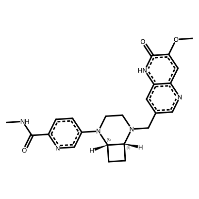 CNC(=O)c1ccc(N2CCN(Cc3cnc4cc(OC)c(=O)[nH]c4c3)[C@@H]3CC[C@@H]32)cn1